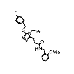 COc1ccccc1CNC(=O)CCc1nnc(SCc2ccc(F)cc2)n1CC(C)C